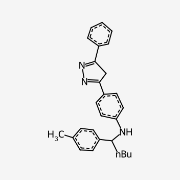 CCCCC(Nc1ccc(C2=NN=C(c3ccccc3)C2)cc1)c1ccc(C)cc1